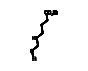 CCOCPCCCC(=O)OCC